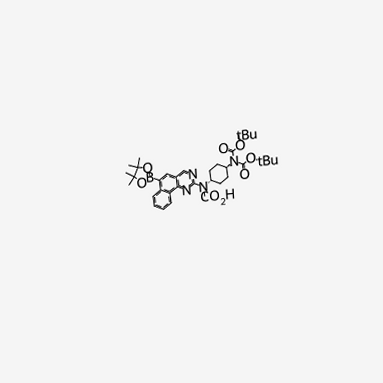 CC(C)(C)OC(=O)N(C(=O)OC(C)(C)C)[C@H]1CC[C@H](N(C(=O)O)c2ncc3cc(B4OC(C)(C)C(C)(C)O4)c4ccccc4c3n2)CC1